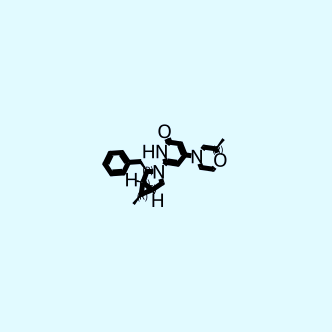 C[C@@H]1[C@@H]2CN(c3cc(N4CCO[C@H](C)C4)cc(=O)[nH]3)[C@H](Cc3ccccc3)[C@H]12